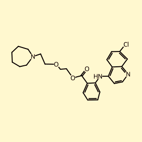 O=C(OCCOCCN1CCCCCC1)c1ccccc1Nc1ccnc2cc(Cl)ccc12